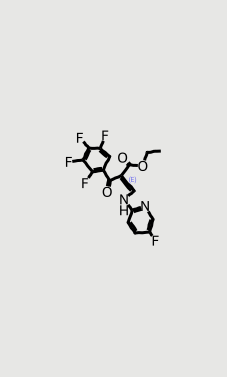 CCOC(=O)/C(=C/Nc1ccc(F)cn1)C(=O)c1cc(F)c(F)c(F)c1F